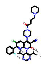 CC(C)c1ncnc(C(C)C)c1-n1c(=O)c(C#N)c(N2CCN(C(=O)/C=C/CN3CCCCC3)CC2)c2cc(Cl)c(-c3ccccc3F)nc21